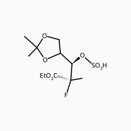 CCOC(=O)[C@](C)(F)[C@H](OS(=O)(=O)O)C1COC(C)(C)O1